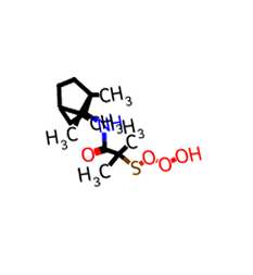 CC(C)(SOOO)C(=O)NC1CC2CCC1(C)C2(C)C